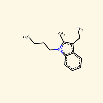 C[CH]c1c(C)n(CCCC)c2ccccc12